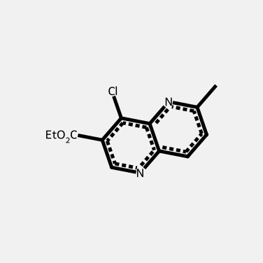 CCOC(=O)c1cnc2ccc(C)nc2c1Cl